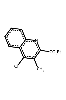 CCOC(=O)c1nc2ccccc2c(Cl)c1C